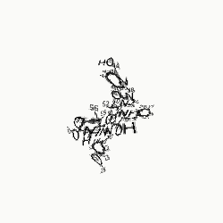 COC(=O)NC(C(=O)NN(Cc1ccc(OC)cc1)CC(O)C(Cc1ccccc1)NC(=O)C(N1CCN(Cc2cccc(CO)n2)C1=O)C(C)(C)C)C(C)(C)C